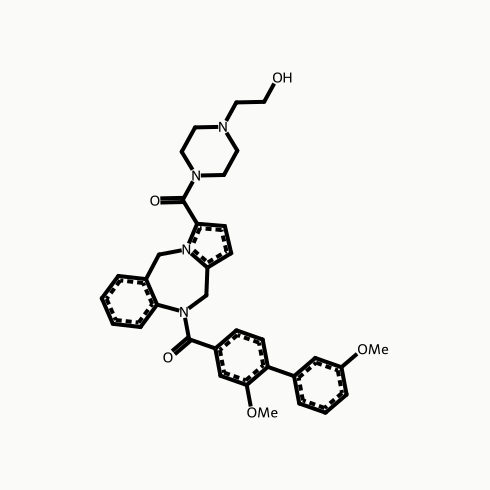 COc1cccc(-c2ccc(C(=O)N3Cc4ccc(C(=O)N5CCN(CCO)CC5)n4Cc4ccccc43)cc2OC)c1